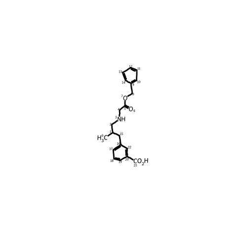 CC(CNCC(=O)OCc1ccccc1)Cc1cccc(C(=O)O)c1